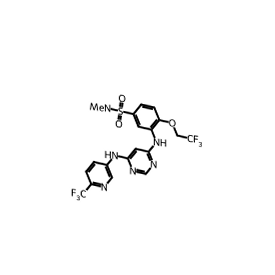 CNS(=O)(=O)c1ccc(OCC(F)(F)F)c(Nc2cc(Nc3ccc(C(F)(F)F)nc3)ncn2)c1